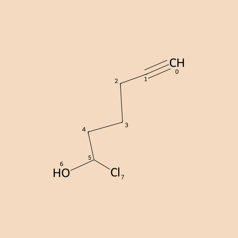 C#CCCCC(O)Cl